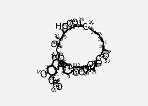 COC1CC(CC2[C@H]3CCCN4C(=O)C(=O)C5(O)O[C@@H](CCC5C)C[C@H](OC)/C(C)=C/C=C/C=C/[C@@H](C)CC(C)C(=O)[C@H](OC)C(O)/C(C)=C/C(C)C(=O)C[C@@H]2OC(=O)C34)CC[C@H]1OP(C)(C)=O